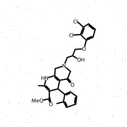 COC(=O)C1=C(C)NC2=C(C(=O)CN(CC(O)COc3cccc(Cl)c3Cl)C2)C1c1ccccc1C